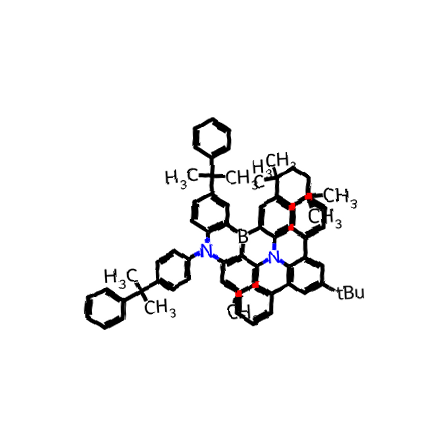 Cc1cc2c3c(c1)N(c1c(-c4ccccc4)cc(C(C)(C)C)cc1-c1ccccc1)c1cc4c(cc1B3c1cc(C(C)(C)c3ccccc3)ccc1N2c1ccc(C(C)(C)c2ccccc2)cc1)C(C)(C)CCC4(C)C